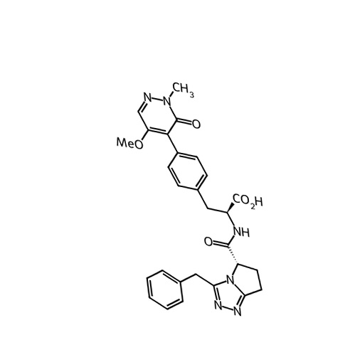 COc1cnn(C)c(=O)c1-c1ccc(C[C@H](NC(=O)[C@@H]2CCc3nnc(Cc4ccccc4)n32)C(=O)O)cc1